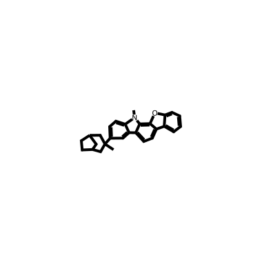 Cn1c2ccc(C3(C)CC4CCC(C4)C3)cc2c2ccc3c4ccccc4oc3c21